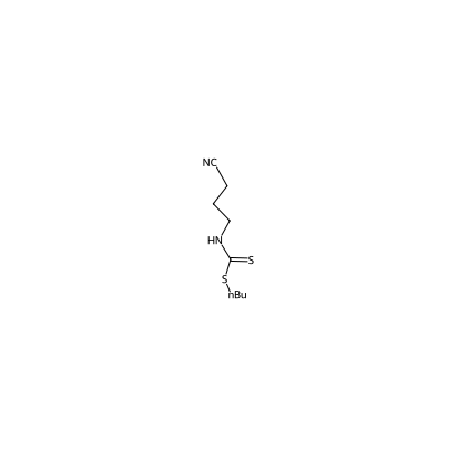 CCCCSC(=S)NCCCC#N